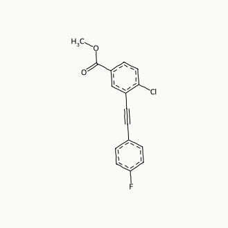 COC(=O)c1ccc(Cl)c(C#Cc2ccc(F)cc2)c1